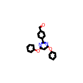 O=Cc1ccc(-c2nc(Oc3ccccc3)cc(Oc3ccccc3)n2)cc1